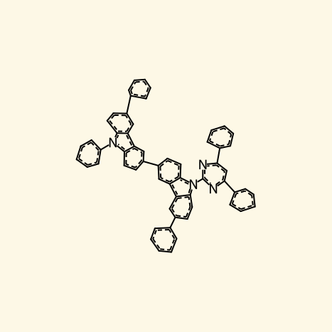 c1ccc(-c2ccc3c(c2)c2cc(-c4ccc5c(c4)c4cc(-c6ccccc6)ccc4n5-c4nc(-c5ccccc5)cc(-c5ccccc5)n4)ccc2n3-c2ccccc2)cc1